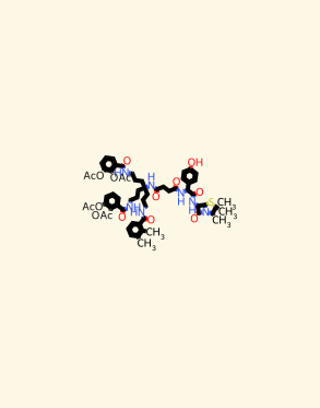 CC(=O)Oc1cccc(C(=O)NCCCC(CCCNC(=O)c2cccc(C)c2C)(CCCNC(=O)c2cccc(OC(C)=O)c2OC(C)=O)NC(=O)CCC(=O)NC(C(=O)NC2C(=O)N3C2SC(C)(C)C3C)c2ccc(O)cc2)c1OC(C)=O